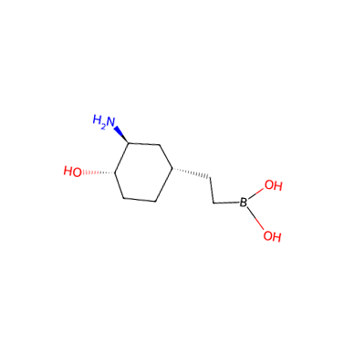 N[C@H]1C[C@H](CCB(O)O)CC[C@@H]1O